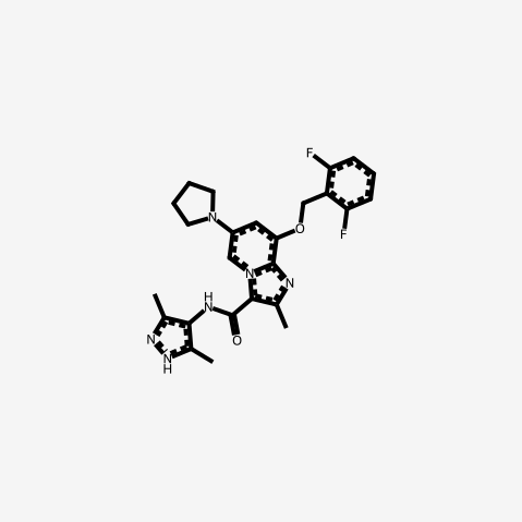 Cc1n[nH]c(C)c1NC(=O)c1c(C)nc2c(OCc3c(F)cccc3F)cc(N3CCCC3)cn12